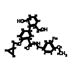 COc1ccc(CNC(=O)c2cc(-c3c(CO)ccc[n+]3O)ccc2OCC2CC2)cc1F